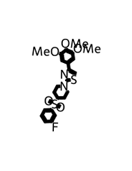 COc1cc(-c2csc(N3CCC(S(=O)(=O)c4cccc(F)c4)CC3)n2)cc(OC)c1OC